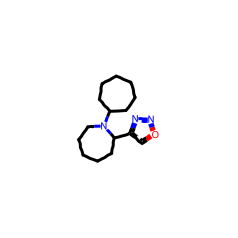 c1onnc1C1CCCCCN1C1CCCCCC1